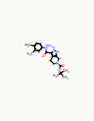 Cc1ccc(N(N)C(=O)c2[nH]nc3c2CCN(C(=O)OC(C)(C)C)C3)cc1C